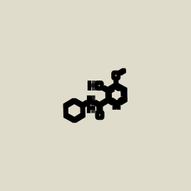 COc1ccnc(C(=O)NC2CCCCC2)c1O